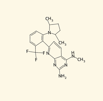 CNc1nc(N)nc2nc(-c3c(N4C(C)CCC4C)cccc3C(F)(F)F)ccc12